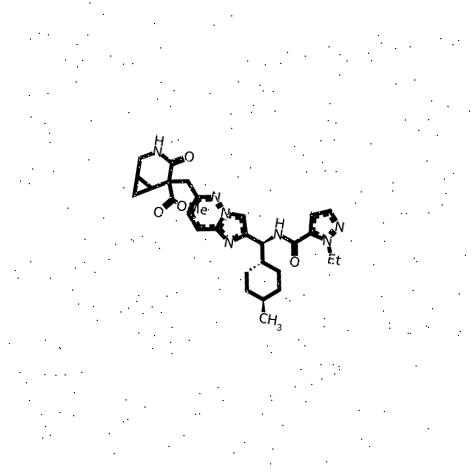 CCn1nccc1C(=O)N[C@H](c1cn2nc(CC3(C(=O)OC)C(=O)NCC4CC43)ccc2n1)[C@H]1CC[C@H](C)CC1